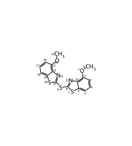 COc1cccc2sc(Sc3nc4c(OC)cccc4s3)nc12